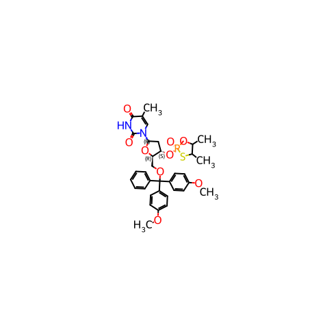 COc1ccc(C(OC[C@H]2O[C@@H](n3cc(C)c(=O)[nH]c3=O)C[C@@H]2OP2(=O)OC(C)C(C)S2)(c2ccccc2)c2ccc(OC)cc2)cc1